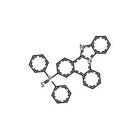 S=P(c1ccccc1)(c1ccccc1)c1ccc2c(c1)c1ccccc1n1c3ccccc3nc21